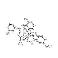 C[C@]1(C(=O)Nc2cccc(Cl)c2)[C@@H](c2cccc(Cl)c2F)[C@H]2[C@H](COc3c4cc(C(=O)O)ccc4nn32)N1CC1CC1